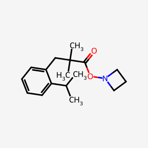 CC(C)c1ccccc1CC(C)(C)C(=O)ON1CCC1